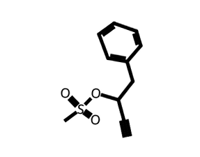 C#CC(Cc1ccccc1)OS(C)(=O)=O